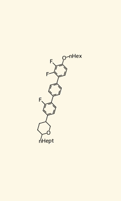 CCCCCCCC1CCC(c2ccc(-c3ccc(-c4ccc(OCCCCCC)c(F)c4F)cc3)c(F)c2)CO1